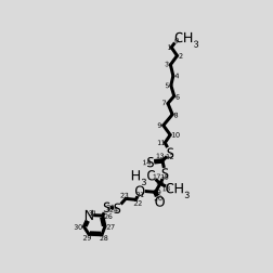 CCCCCCCCCCCCSC(=S)SC(C)(C)C(=O)OCCSSc1ccccn1